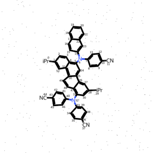 CC(C)c1ccc2c(N(c3ccc(C#N)cc3)c3ccc4ccccc4c3)cc3c4cc(C(C)C)cc(N(c5ccc(C#N)cc5)c5ccc(C#N)cc5)c4ccc3c2c1